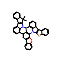 CC1(C)c2ccccc2-c2c1n1c3c(cccc23)-c2cc3c(oc4ccccc43)c3c2B1c1cccc2c4c5ccccc5sc4n-3c12